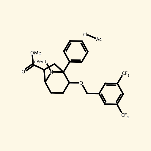 CC(=O)Cl.CCCCCN1C2CCC(OCc3cc(C(F)(F)F)cc(C(F)(F)F)c3)C1(c1ccccc1)CC2C(=O)OC